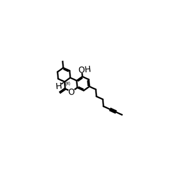 C=C1Oc2cc(CCCCC#CC)cc(O)c2C2C=C(C)CC[C@@H]12